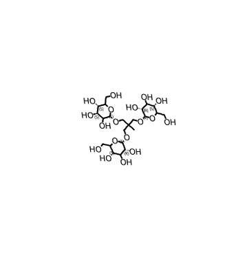 CC(CO[C@H]1OC(CO)[C@@H](O)[C@H](O)C1O)(CO[C@@H]1OC(CO)[C@@H](O)C(O)[C@H]1O)CO[C@H]1OC(CO)[C@@H](O)C(O)[C@H]1O